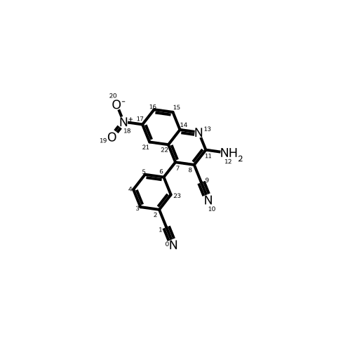 N#Cc1cccc(-c2c(C#N)c(N)nc3ccc([N+](=O)[O-])cc23)c1